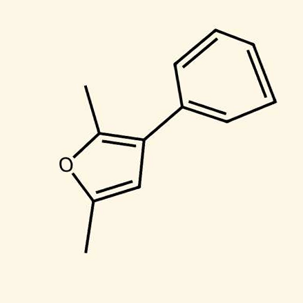 Cc1cc(-c2ccccc2)c(C)o1